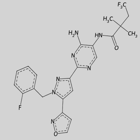 CC(C)(CC(F)(F)F)C(=O)Nc1cnc(-c2cc(-c3ccon3)n(Cc3ccccc3F)n2)nc1N